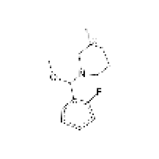 COC(c1ccccc1F)N1CCC[C@@H](C)C1